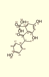 CC(C(=O)c1c(O)cc(O)cc1P(=O)(O)O)c1ccc(O)cc1